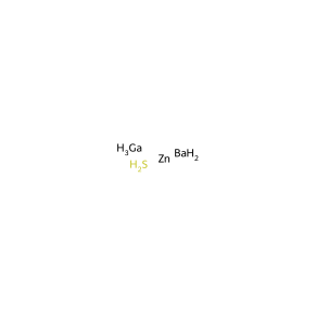 S.[BaH2].[GaH3].[Zn]